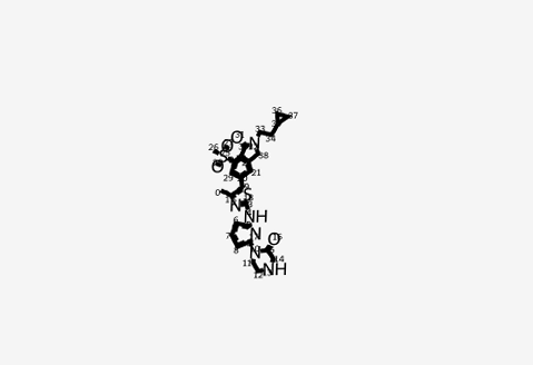 Cc1nc(Nc2cccc(N3CCNCC3=O)n2)sc1-c1cc2c(c(S(C)(=O)=O)c1)C(=O)N(CCC1CC1)C2